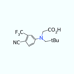 CC(C)(C)CN(CC(=O)O)c1ccc(C#N)c(C(F)(F)F)c1